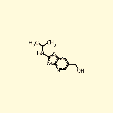 CC(C)Nc1nc2ncc(CO)cc2s1